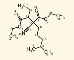 CCOC(=O)C(CC)C(C#N)(CCCC(C)C)C(=O)OCC